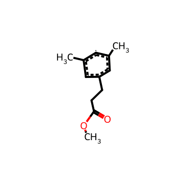 COC(=O)CCc1cc(C)[c]c(C)c1